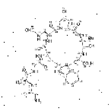 CC[C@H](C)[C@H](NC(=O)CN)C(=O)NCC(=O)N[C@H]1CSc2[nH]c3ccccc3c2C[C@@H](C(=O)O)NC(=O)[C@H]([C@@H](C)CC)NC(=O)[C@@H]2C[C@@H](O)CN2C(=O)[C@H](CNC=O)NC1=O